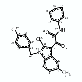 Cc1ccc2c(c1)c(C(=O)C(=O)Nc1ccccc1)c(Cl)n2Cc1ccc(Cl)cc1